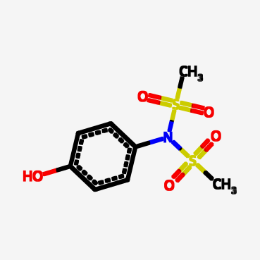 CS(=O)(=O)N(c1ccc(O)cc1)S(C)(=O)=O